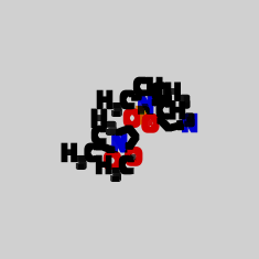 COC1CC(OP(OCCC#N)N(C(C)C)C(C)C)CN1C(=O)C(C)C